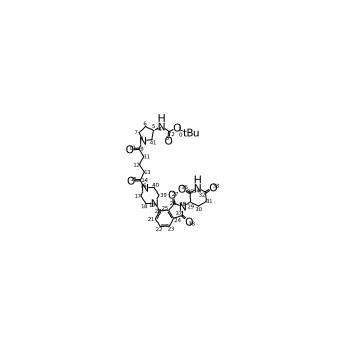 CC(C)(C)OC(=O)N[C@@H]1CCN(C(=O)CCCC(=O)N2CCN(c3cccc4c3C(=O)N(C3CCC(=O)NC3=O)C4=O)CC2)C1